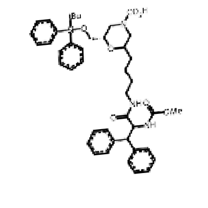 COC(=O)NC(C(=O)NCCCCC1CN(C(=O)O)C[C@@H](CO[Si](c2ccccc2)(c2ccccc2)C(C)(C)C)O1)C(c1ccccc1)c1ccccc1